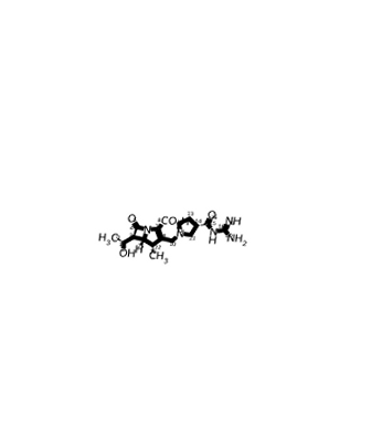 C[C@@H](O)[C@H]1C(=O)N2C(C(=O)O)=C(CN3CC[C@H](C(=O)NC(=N)N)C3)[C@H](C)[C@H]12